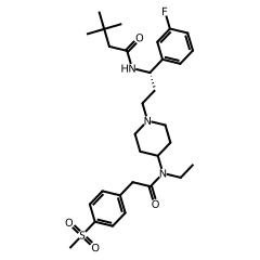 CCN(C(=O)Cc1ccc(S(C)(=O)=O)cc1)C1CCN(CC[C@H](NC(=O)CC(C)(C)C)c2cccc(F)c2)CC1